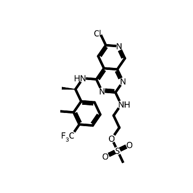 Cc1c([C@@H](C)Nc2nc(NCCOS(C)(=O)=O)nc3cnc(Cl)cc23)cccc1C(F)(F)F